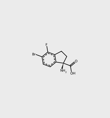 N[C@]1(C(=O)O)CCc2c1ccc(Br)c2F